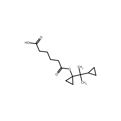 CC(C)(C1CC1)C1(OC(=O)CCCCC(=O)O)CC1